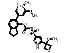 C=N/C(=C\C(=C/C)c1ccc2c(c1NC(=O)NS(=O)(=O)c1cc(C3(OC)COC3)[nH]n1)CCC2)OC